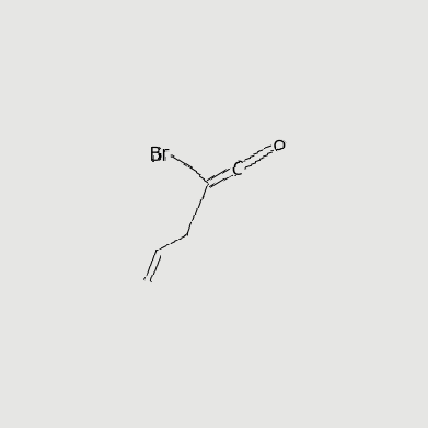 C=CCC(Br)=C=O